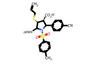 C=CCS[C@@H]1C(CCCCCC)N(S(=O)(=O)c2ccc(C)cc2)C(c2ccc(C#N)cc2)[C@@H]1C(=O)O